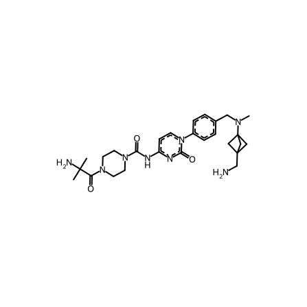 CN(Cc1ccc(-n2ccc(NC(=O)N3CCN(C(=O)C(C)(C)N)CC3)nc2=O)cc1)C12CC(CN)(C1)C2